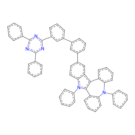 c1ccc(-c2nc(-c3ccccc3)nc(-c3cccc(-c4cccc(-c5ccc6c(c5)c5c(n6-c6ccccc6)-c6ccccc6N(c6ccccc6)c6ccccc6-5)c4)c3)n2)cc1